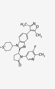 Cc1ncc(N2C(=O)CC[C@H]2c2nc3cc(-c4c(C)noc4C)ccc3n2C2CC[S+]([O-])CC2)cc1F